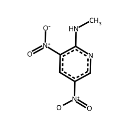 CNc1ncc([N+](=O)[O-])cc1[N+](=O)[O-]